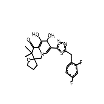 CC1(C)C(=O)C2=C(O)C(O)C(c3nnc(Cc4ccc(F)cc4F)s3)=CN2CC12CCCO2